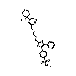 NS(=O)(=O)c1ccc(-c2oc(CCCOCc3cncc(C4(O)CCOCC4)c3)nc2-c2ccccc2)cc1